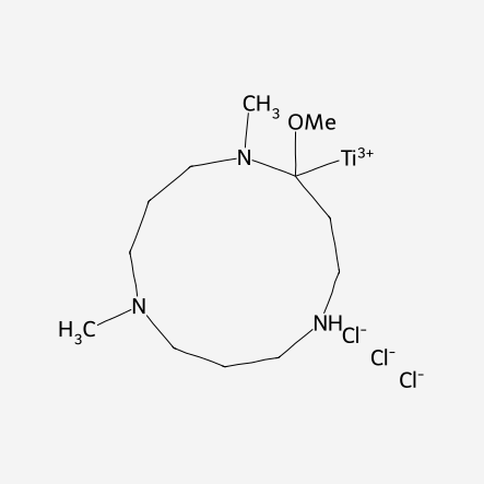 CO[C]1([Ti+3])CCNCCCN(C)CCCN1C.[Cl-].[Cl-].[Cl-]